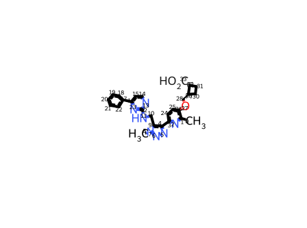 Cc1nc(-c2nnn(C)c2CNc2nccc(-c3ccccc3)n2)ccc1OC[C@@H]1CC[C@H]1C(=O)O